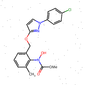 COC(=O)N(O)c1c(C)cccc1COc1ccn(-c2ccc(Cl)cc2)n1